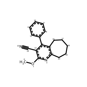 COc1nc2c(c(-c3ccccc3)c1C#N)CCCCC2